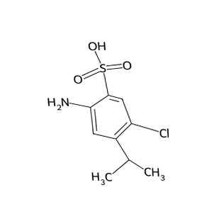 CC(C)c1cc(N)c(S(=O)(=O)O)cc1Cl